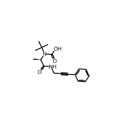 C[C@H](C(=O)NCC#Cc1ccccc1)N(C(=O)O)C(C)(C)C